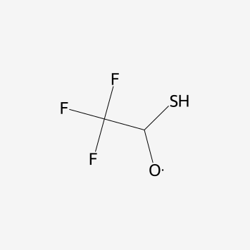 [O]C(S)C(F)(F)F